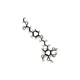 CCOC(=O)/C=C/c1ccc(OCCCCc2c(C)c(OC)c(OC)c(OC)c2OC)cc1